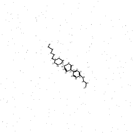 CCCCCC[C@H]1CC[C@H](C2C=CC(c3ccc(CCCC)cc3)=CC2)CC1